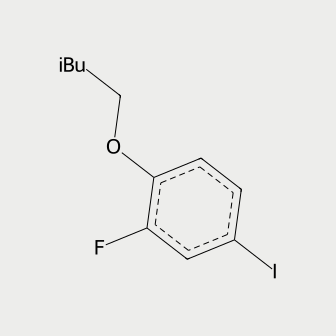 CCC(C)COc1ccc(I)cc1F